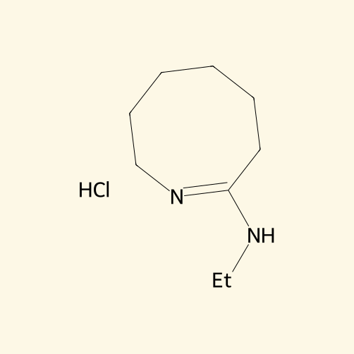 CCNC1=NCCCCCC1.Cl